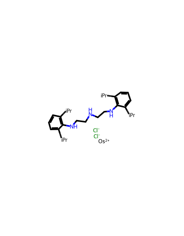 CC(C)c1cccc(C(C)C)c1NCCNCCNc1c(C(C)C)cccc1C(C)C.[Cl-].[Cl-].[Os+2]